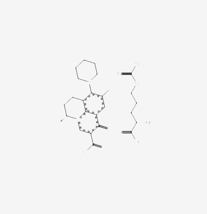 C[C@H]1CCc2c(N3CCCCC3)c(F)cc3c(=O)c(C(=O)O)cn1c23.N=C(N)NCCC[C@H](N)C(=O)O